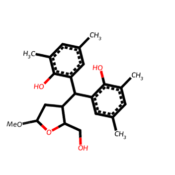 COC1CC(C(c2cc(C)cc(C)c2O)c2cc(C)cc(C)c2O)C(CO)O1